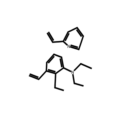 C=Cc1cccc(N(CC)CC)c1CC.C=Cc1ccccn1